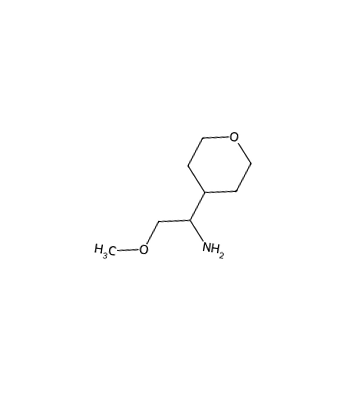 COCC(N)C1CCOCC1